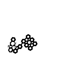 C1=Cc2c(nc3n2C(n2c4ccccc4c4ccc(-c5ccc6c(c5)C5(c7ccccc7-6)c6ccccc6C6(c7ccccc7-c7ccccc76)c6ccccc65)cc42)=Nc2ccccc2C3)CC1